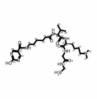 BCNC(=O)CNC(=O)[C@H](CCCCN(C)C)NC(=O)[C@@H](NC(=O)CCCCCNC(=O)c1cnc(O)nc1)C(C)C